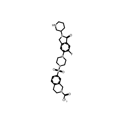 O=C1c2cc(F)c(N3CCN(S(=O)(=O)c4ccc5c(c4)CN(C(=O)C(F)(F)F)CC5)CC3)cc2CN1C1CCCNC1